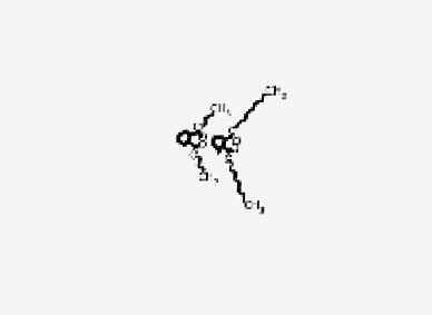 CCCCCCCCCOC(=O)c1ccccc1C(=O)OCCCCCCCCC.CCCCOC(=O)c1ccccc1C(=O)OCCCC